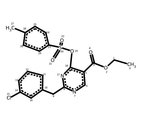 CCOC(=O)c1cnc(Cc2cccc(Cl)c2)nc1OS(=O)(=O)c1ccc(C)cc1